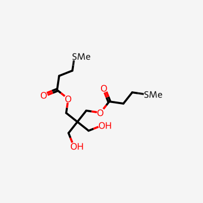 CSCCC(=O)OCC(CO)(CO)COC(=O)CCSC